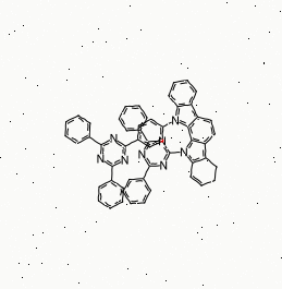 C1=Cc2c(c3ccc4c5ccccc5n(-c5ccc(-c6nc(-c7ccccc7)nc(-c7ccccc7)n6)cc5)c4c3n2-c2nc(-c3ccccc3)nc(-c3ccccc3)n2)CC1